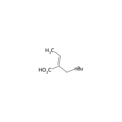 CC=C(CCCCC)C(=O)O